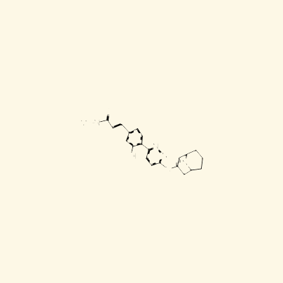 CNC(=O)/C=C/c1ccc(-c2ccc(SC3CC4CCCC(C3)N4)nn2)c(O)c1